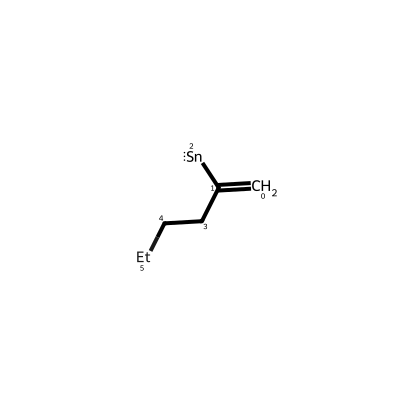 C=[C]([Sn])CCCC